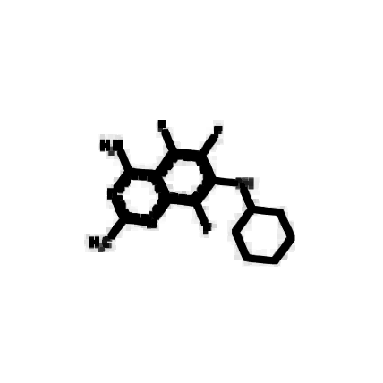 Cc1nc(N)c2c(F)c(F)c(NC3CCCCC3)c(F)c2n1